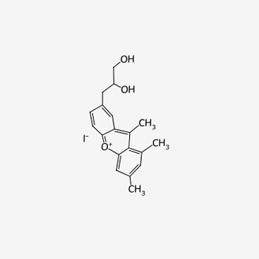 Cc1cc(C)c2c(C)c3cc(CC(O)CO)ccc3[o+]c2c1.[I-]